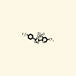 CCS(=O)(=O)c1cc(C(F)(F)F)cnc1-c1nnc(-c2ccc(C(F)(F)F)cc2)n1C